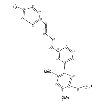 COc1cc(OC)c(-c2cccc(OC/C=C/c3ccc(C(F)(F)F)cc3)c2)cc1CC(=O)O